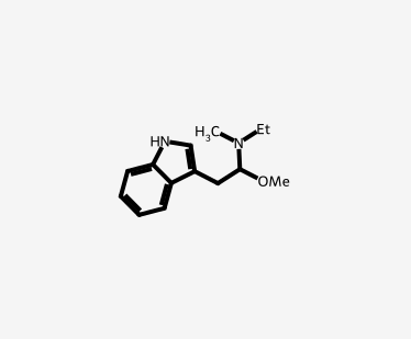 CCN(C)C(Cc1c[nH]c2ccccc12)OC